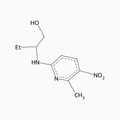 CCC(CO)Nc1ccc([N+](=O)[O-])c(C)n1